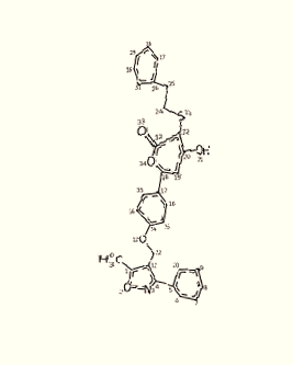 Cc1onc(-c2ccccc2)c1COc1ccc(-c2cc(O)c(SCCc3ccccc3)c(=O)o2)cc1